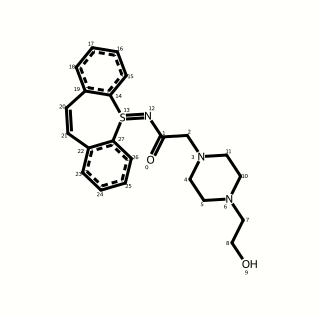 O=C(CN1CCN(CCO)CC1)N=S1c2ccccc2C=Cc2ccccc21